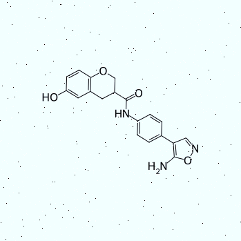 Nc1oncc1-c1ccc(NC(=O)C2COc3ccc(O)cc3C2)cc1